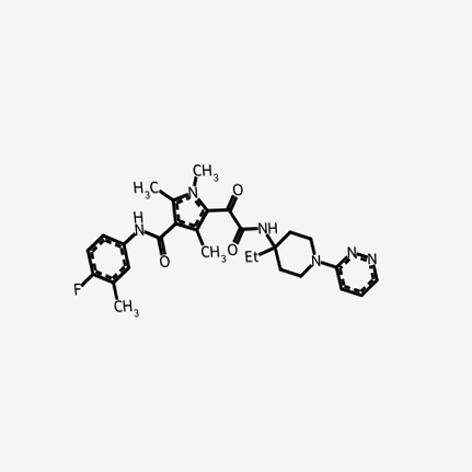 CCC1(NC(=O)C(=O)c2c(C)c(C(=O)Nc3ccc(F)c(C)c3)c(C)n2C)CCN(c2cccnn2)CC1